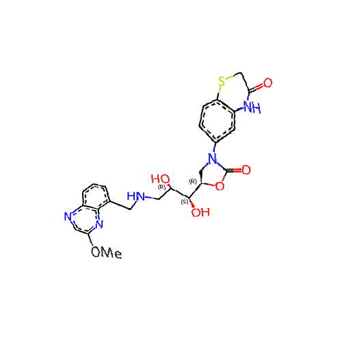 COc1cnc2cccc(CNC[C@@H](O)[C@H](O)[C@H]3CN(c4ccc5c(c4)NC(=O)CS5)C(=O)O3)c2n1